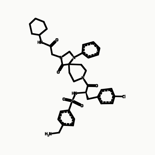 NCc1ccc(S(=O)(=O)N[C@H](Cc2ccc(Cl)cc2)C(=O)N2CCC3(CC2)C(=O)N(CC(=O)NC2CCCCC2)CN3c2ccccc2)cc1